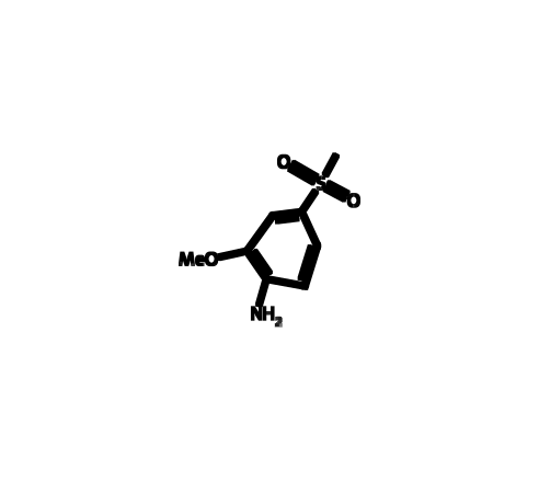 COc1cc(S(C)(=O)=O)ccc1N